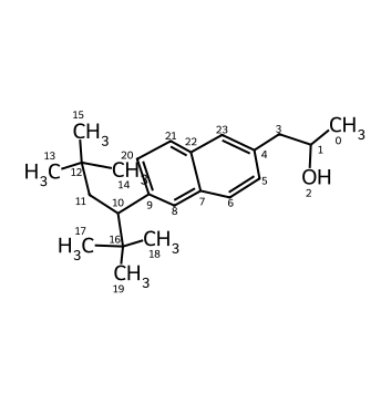 CC(O)Cc1ccc2cc(C(CC(C)(C)C)C(C)(C)C)ccc2c1